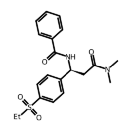 CCS(=O)(=O)c1ccc([C@H](CC(=O)N(C)C)NC(=O)c2ccccc2)cc1